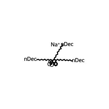 CCCCCCCCCCCCCCCCCCCCc1c(CCCCCCCCCCCCCCCCCCCC)c(S(=O)(=O)[O-])c2ccccc2c1CCCCCCCCCCCCCCCCCCCC.[Na+]